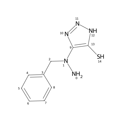 NN(Cc1ccccc1)c1nn[nH]c1S